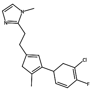 CC1=C(C2C=CC(F)=C(Cl)C2)C=C(CCc2nccn2C)C1